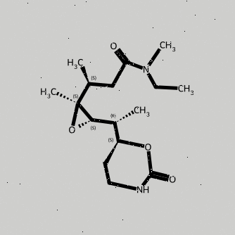 CCN(C)C(=O)C[C@H](C)[C@]1(C)O[C@H]1[C@H](C)[C@@H]1CCNC(=O)O1